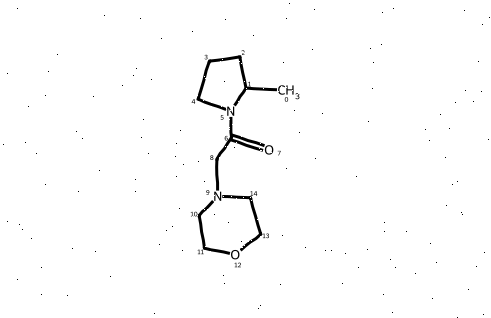 CC1CCCN1C(=O)CN1CCOCC1